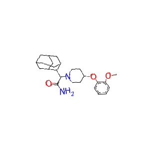 COc1ccccc1OC1CCN(C(C(N)=O)C2C3CC4CC(C3)CC2C4)CC1